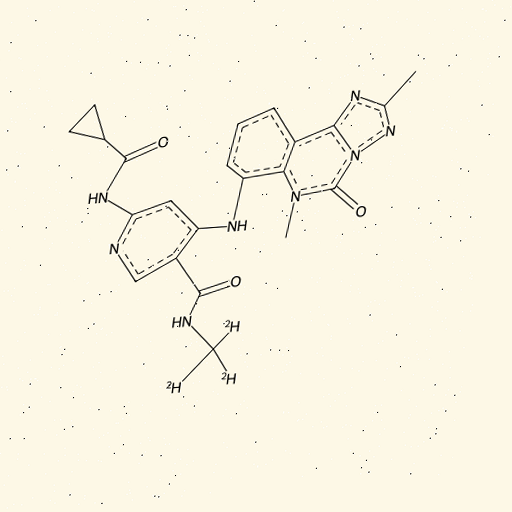 [2H]C([2H])([2H])NC(=O)c1cnc(NC(=O)C2CC2)cc1Nc1cccc2c1n(C)c(=O)n1nc(C)nc21